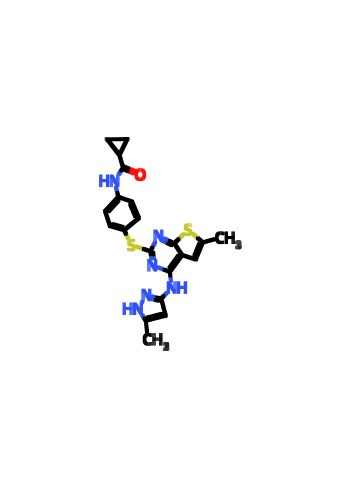 Cc1cc(Nc2nc(Sc3ccc(NC(=O)C4CC4)cc3)nc3sc(C)cc23)n[nH]1